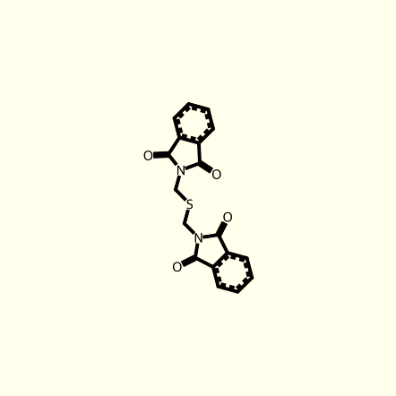 O=C1c2ccccc2C(=O)N1CSCN1C(=O)c2ccccc2C1=O